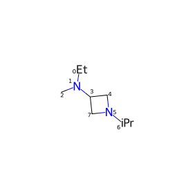 CCN(C)C1CN(C(C)C)C1